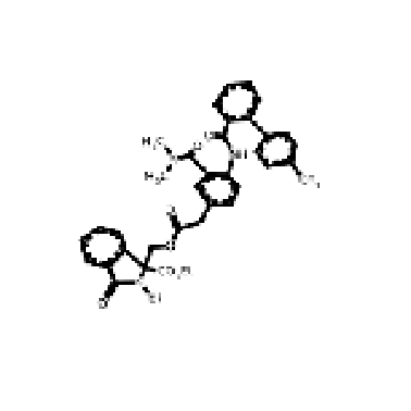 CCOC(=O)C1(COC(=O)Cc2ccc(NC(=O)c3ccccc3-c3ccc(C(F)(F)F)cc3)c(C(=O)N(C)C)c2)c2ccccc2C(=O)N1CC